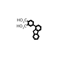 O=C(O)c1ccc(-c2cccc3c2Cc2ccccc2-3)cc1C(=O)O